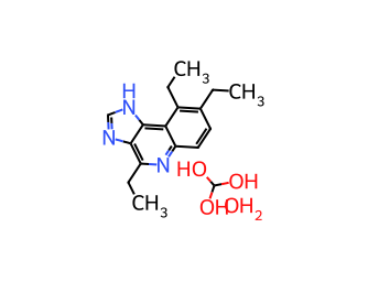 CCc1ccc2nc(CC)c3nc[nH]c3c2c1CC.O.OC(O)O